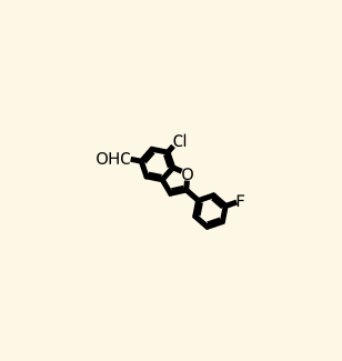 O=Cc1cc(Cl)c2oc(-c3cccc(F)c3)cc2c1